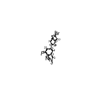 Cn1cc2cc(-c3cc4sc(Br)cc4s3)cc(F)c2n1